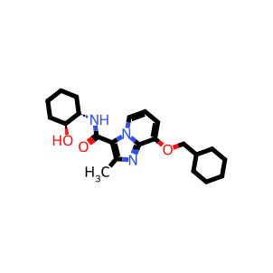 Cc1nc2c(OCC3CCCCC3)cccn2c1C(=O)N[C@H]1CCCC[C@@H]1O